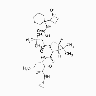 CCC[C@H](NC(=O)[C@@H]1[C@@H]2[C@H](CN1C(=O)[C@@H](NC(=O)NC1([C@@H]3CC[S+]3[O-])CCCCC1)C(C)(C)C)C2(C)C)C(=O)C(=O)NC1CC1